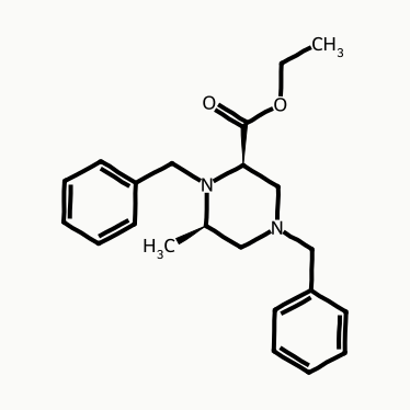 CCOC(=O)[C@H]1CN(Cc2ccccc2)C[C@@H](C)N1Cc1ccccc1